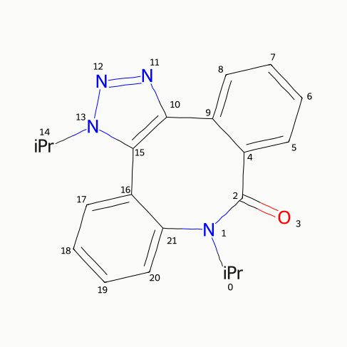 CC(C)N1C(=O)c2ccccc2-c2nnn(C(C)C)c2-c2ccccc21